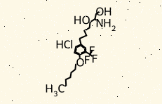 CCCCCCCOc1ccc(CCCCC(O)C(N)CO)cc1C(F)(F)F.Cl